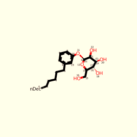 CCCCCCCCCCCCCCCc1cccc(O[C@@H]2OC(CO)[C@@H](O)[C@H](O)C2O)c1